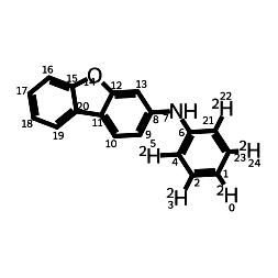 [2H]c1c([2H])c([2H])c(Nc2ccc3c(c2)oc2ccccc23)c([2H])c1[2H]